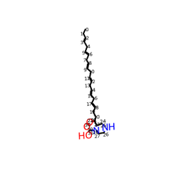 CCC=CCC=CCC=CCC=CCC=CCC=CCCC(=O)C1CNCCN1C(=O)O